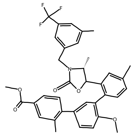 COC(=O)c1ccc(-c2ccc(OC)c(-c3ccc(C)cc3C3OC(=O)N(Cc4cc(C)cc(C(F)(F)F)c4)[C@@H]3C)c2)c(C)c1